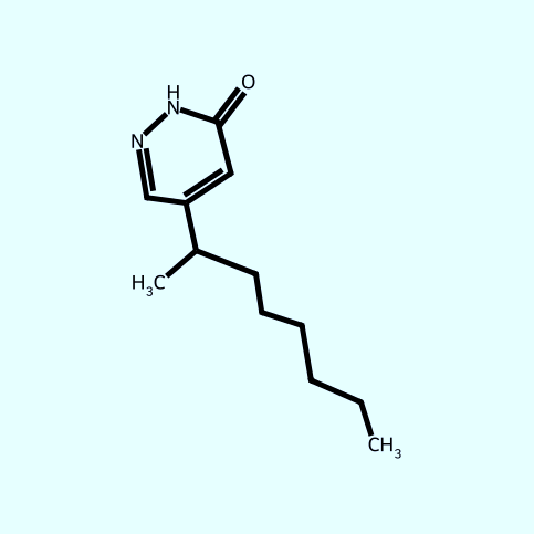 CCCCCCC(C)c1cn[nH]c(=O)c1